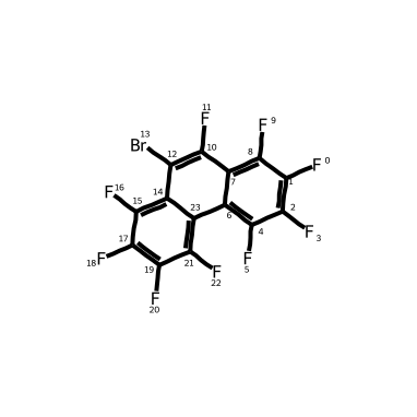 Fc1c(F)c(F)c2c(c1F)c(F)c(Br)c1c(F)c(F)c(F)c(F)c12